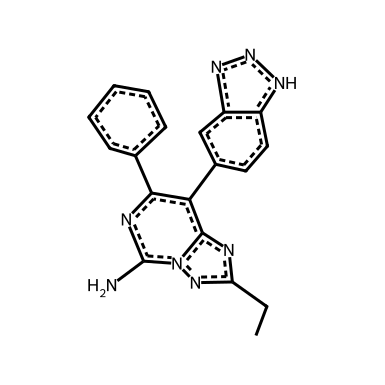 CCc1nc2c(-c3ccc4[nH]nnc4c3)c(-c3ccccc3)nc(N)n2n1